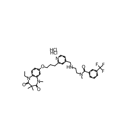 CCN1C(=O)C(C)(C)C(=O)N(C)c2cc(OCCCc3cc(CNCCN(C)C(=O)c4cccc(C(F)(F)F)c4)ccn3)ccc21.Cl.Cl